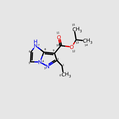 CCc1nn2cc[nH]c2c1C(=O)OC(C)C